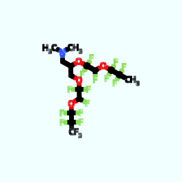 CN(C)CC(COC(F)(F)C(F)OC(F)(F)C(F)(F)C(F)(F)F)OC(F)(F)C(F)OC(F)(F)C(C)(F)F